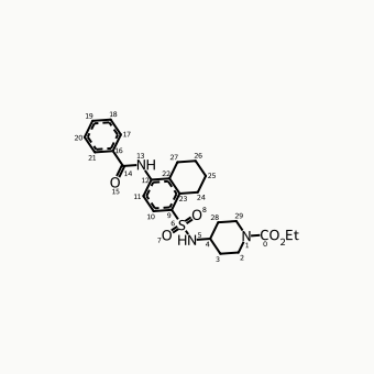 CCOC(=O)N1CCC(NS(=O)(=O)c2ccc(NC(=O)c3ccccc3)c3c2CCCC3)CC1